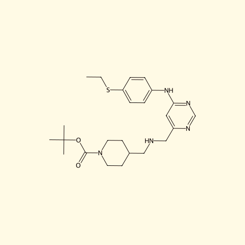 CCSc1ccc(Nc2cc(CNCC3CCN(C(=O)OC(C)(C)C)CC3)ncn2)cc1